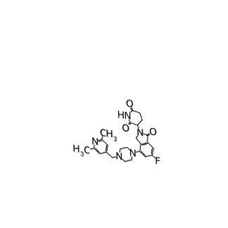 Cc1cc(CN2CCN(c3cc(F)cc4c3CN(C3CCC(=O)NC3=O)C4=O)CC2)cc(C)n1